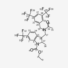 CCOC(=O)N1c2cc(C(F)(F)F)ccc2C(CN(Cc2cc(C(F)(F)F)cc(C(F)(F)F)c2)C(C)=O)C1C